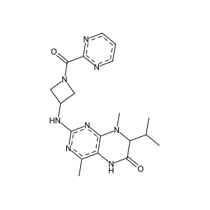 Cc1nc(NC2CN(C(=O)c3ncccn3)C2)nc2c1NC(=O)C(C(C)C)N2C